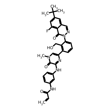 C=CC(=O)Nc1cccc(Nc2nc(-c3cccc(-n4ncc5cc(C(C)(C)C)cc(F)c5c4=O)c3CO)cn(C)c2=O)c1